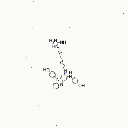 N=C(N)NCCOCCOCC/N=c1\cc2n(-c3ccc(O)cc3)c3ccccc3nc-2cc1Nc1ccc(O)cc1